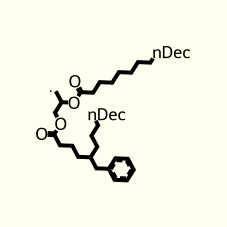 [CH2]C(COC(=O)CCCC(CCCCCCCCCCCCC)Cc1ccccc1)OC(=O)CCCCCCCCCCCCCCCCC